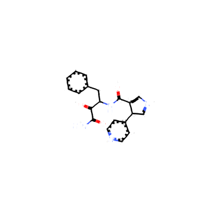 NC(=O)C(=O)C(Cc1ccccc1)NC(=O)C1=CN=CC1c1ccncc1